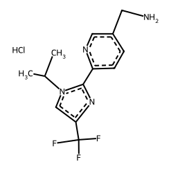 CC(C)n1cc(C(F)(F)F)nc1-c1ccc(CN)cn1.Cl